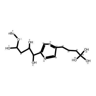 CCCCOC(O)CC(O)C(O)c1cnc(CCCC(O)(O)O)cn1